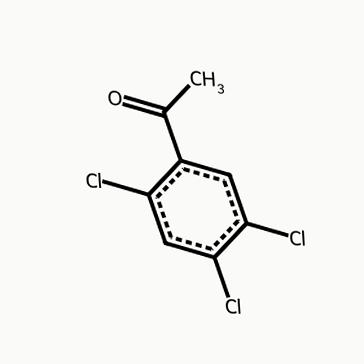 CC(=O)c1cc(Cl)c(Cl)cc1Cl